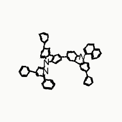 C1=CC2C(C=C1c1ccc3c(c1)c1cc(-c4ccccc4)ccc1n3-c1cc(-c3ccccc3)cc(-c3ccccc3)n1)c1cc(-c3ccccc3)ccc1N2c1cccc2ccccc12